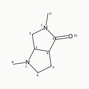 CN1CC2C(CCN2C)C1=O